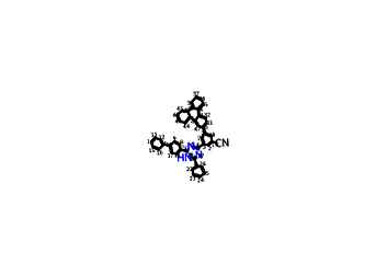 N#Cc1cc(C2=NC(c3ccc(-c4ccccc4)cc3)NC(c3ccccc3)=N2)cc(-c2ccc3c4ccccc4c4ccccc4c3c2)c1